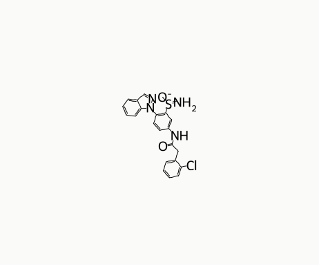 N[S+]([O-])c1cc(NC(=O)Cc2ccccc2Cl)ccc1-n1ncc2ccccc21